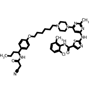 CCCC(NC(=O)CC#N)c1ccc(OCCCCCCN2CCN(c3cc(Nc4ncc(C(=O)Nc5c(C)cccc5Cl)s4)nc(C)n3)CC2)cc1